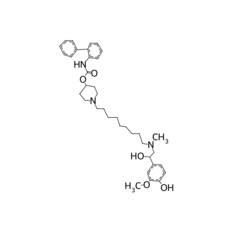 COc1cc(C(O)CN(C)CCCCCCCCCN2CCC(OC(=O)Nc3ccccc3-c3ccccc3)CC2)ccc1O